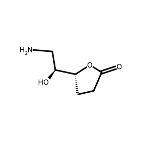 NC[C@H](O)[C@H]1CCC(=O)O1